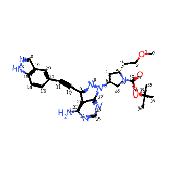 COCC[C@H]1CC(n2nc(C#Cc3ccc4[nH]ncc4c3)c3c(N)ncnc32)CN1C(=O)OC(C)(C)C